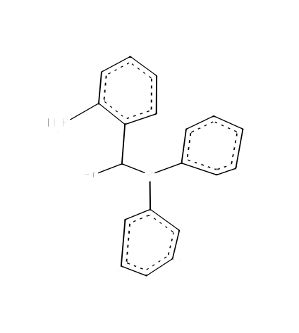 CCC(c1ccccc1P)P(c1ccccc1)c1ccccc1